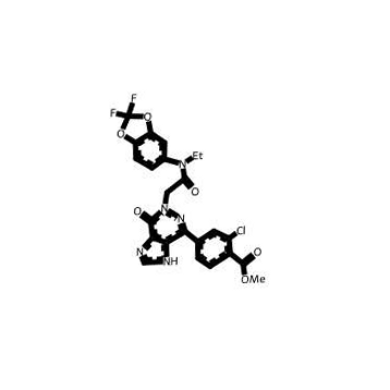 CCN(C(=O)Cn1nc(-c2ccc(C(=O)OC)c(Cl)c2)c2[nH]cnc2c1=O)c1ccc2c(c1)OC(F)(F)O2